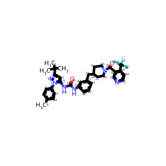 Cc1ccc(-n2nc(C(C)(C)C)cc2NC(=O)Nc2cccc(CC3CCN(C(=O)c4cnccc4C(F)(F)F)CC3)c2)cc1